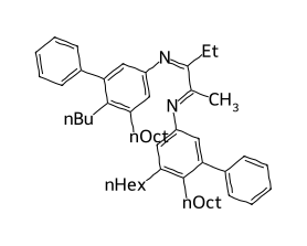 CCCCCCCCc1cc(N=C(CC)C(C)=Nc2cc(CCCCCC)c(CCCCCCCC)c(-c3ccccc3)c2)cc(-c2ccccc2)c1CCCC